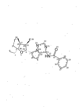 CC[C@@]1(CI)O[C@@H](c2ccc3c(NC(=O)c4ccccc4)ncnn23)[C@H](F)[C@@H]1C